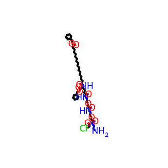 NCCN(C(=O)CCl)C(=O)COCCNC(=O)COCCNC(=O)CCC(NC(=O)CCCCCCCCCCCCCCCCC(=O)OCc1ccccc1)C(=O)OCc1ccccc1